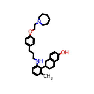 Cc1cccc(NCCCc2ccc(OCCN3CCCCCC3)cc2)c1C1CCc2cc(O)ccc2C1